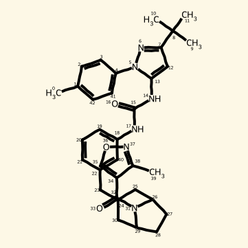 Cc1ccc(-n2nc(C(C)(C)C)cc2NC(=O)Nc2cccc(CC3CC4CCC(C3)N4C(=O)c3conc3C)c2)cc1